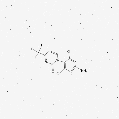 Nc1cc(Cl)c(-n2ccc(C(F)(F)F)nc2=O)c(Cl)c1